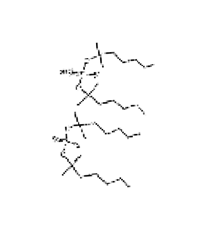 CCCCCC(C)(C)OP(=S)([S-])OC(C)(C)CCCCC.CCCCCC(C)(C)OP(=S)([S-])OC(C)(C)CCCCC.[Sn+2]